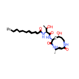 CC(C)CCCCC/C=C/C=C/C(=O)N[C@H](C(=O)N[C@H]1C[C@H](O)CCNC(=O)/C=C/[C@H](C)NC1=O)[C@@H](C)O